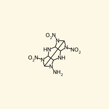 NN1C2NC3C4NC2N([N+](=O)[O-])C1C(N3[N+](=O)[O-])N4[N+](=O)[O-]